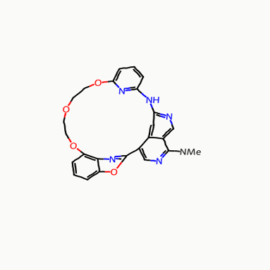 CNc1ncc2c3cc(ncc13)Nc1cccc(n1)OCCOCCOc1cccc3oc-2nc13